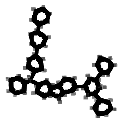 c1ccc(-c2ccc(-c3ccc(N(c4ccccc4)c4ccc5oc6cc(-c7nc(-c8ccccc8)nc(-c8ccccc8)n7)ccc6c5c4)cc3)cc2)cc1